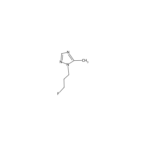 Cc1ncnn1CCCF